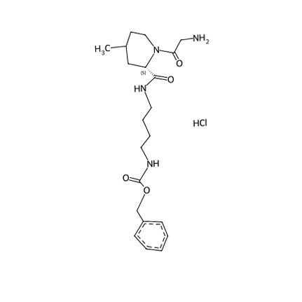 CC1CCN(C(=O)CN)[C@H](C(=O)NCCCCNC(=O)OCc2ccccc2)C1.Cl